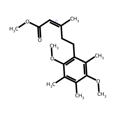 COC(=O)/C=C(/C)CCc1c(C)c(OC)c(C)c(C)c1OC